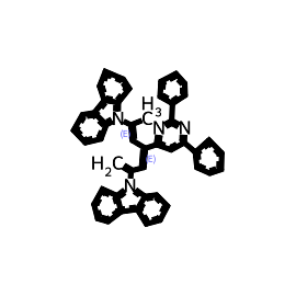 C=C(/C=C(\C=C(/C)n1c2ccccc2c2ccccc21)c1cc(-c2ccccc2)nc(-c2ccccc2)n1)n1c2ccccc2c2ccccc21